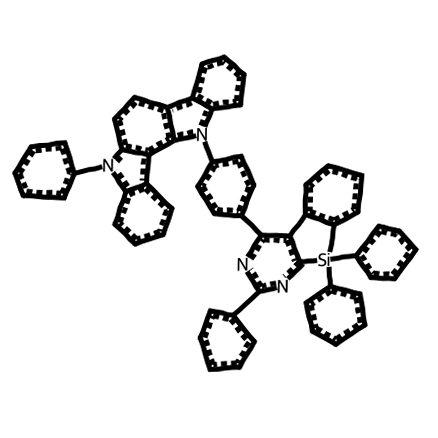 c1ccc(-c2nc(-c3ccc(-n4c5ccccc5c5ccc6c(c7ccccc7n6-c6ccccc6)c54)cc3)c3c(n2)[Si](c2ccccc2)(c2ccccc2)c2ccccc2-3)cc1